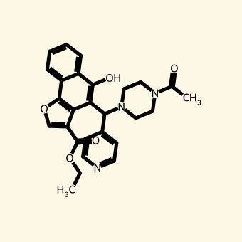 CCOC(=O)c1coc2c1c(C(c1ccncc1)N1CCN(C(C)=O)CC1)c(O)c1ccccc12